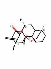 C=C1C(=O)C23CC[C@H]1CC2[C@@]12CCC[C@@]4(C)CO[C@@H]1O[C@@H]3CC42